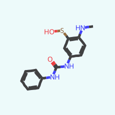 CNc1ccc(NC(=O)Nc2ccccc2)cc1SO